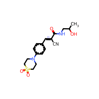 CC(O)CNC(=O)/C(C#N)=C/c1ccc(N2CCS(=O)(=O)CC2)cc1